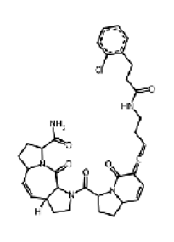 NC(=O)C1CCC2C=C[C@H]3CCN(C(=O)C4CCC5C=CC(=C=CCCNC(=O)CCc6ccccc6Cl)C(=O)N54)C3C(=O)N21